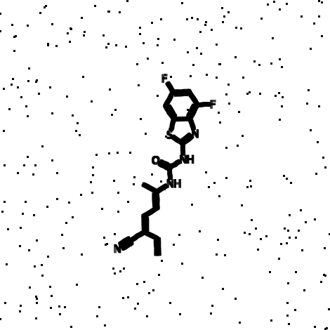 C=C/C(C#N)=C\C=C(/C)NC(=O)Nc1nc2c(F)cc(F)cc2s1